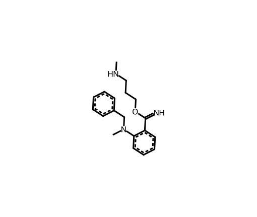 CNCCCOC(=N)c1ccccc1N(C)Cc1ccccc1